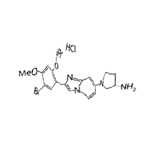 COc1cc(OC(C)C)c(-c2cn3ccc(N4CC[C@H](N)C4)cc3n2)cc1Br.Cl